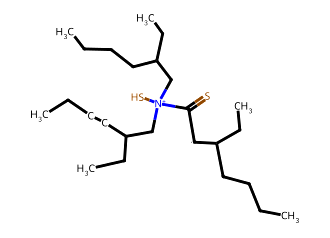 CCCCC([CH]C(=S)[N+](S)(CC(CC)CCCC)CC(CC)CCCC)CC